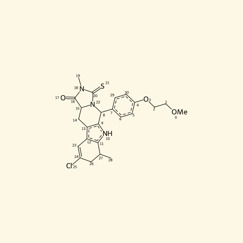 COCCOc1ccc(C2c3[nH]c4c(c3CC3C(=O)N(C)C(=S)N32)C=C(Cl)CC4C)cc1